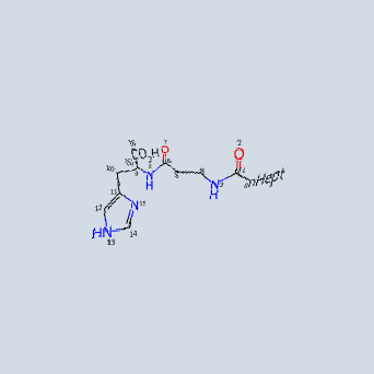 CCCCCCCC(=O)NCCC(=O)N[C@@H](Cc1c[nH]cn1)C(=O)O